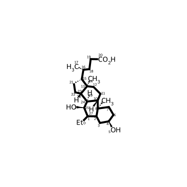 CCC1C2C[C@H](O)CC[C@]2(C)[C@H]2CC[C@]3(C)[C@@H]([C@H](C)CCC(=O)O)CC[C@H]3[C@@H]2[C@@H]1O